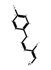 CC(C)/C=C(F)\C=C/Cc1ccc(F)cc1